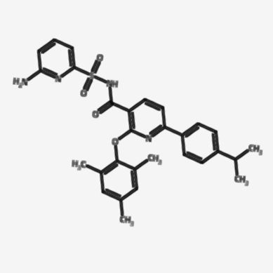 Cc1cc(C)c(Oc2nc(-c3ccc(C(C)C)cc3)ccc2C(=O)NS(=O)(=O)c2cccc(N)n2)c(C)c1